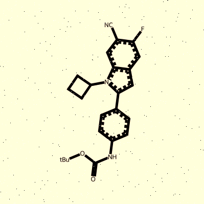 CC(C)(C)OC(=O)Nc1ccc(-c2cc3cc(F)c(C#N)cc3n2C2CCC2)cc1